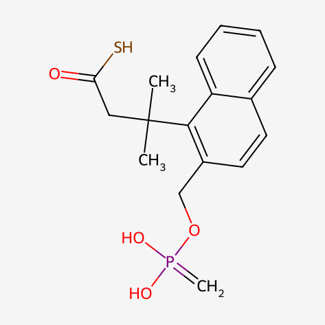 C=P(O)(O)OCc1ccc2ccccc2c1C(C)(C)CC(=O)S